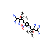 CC1(C)OC(=C(C#N)C#N)C(C#N)=C1/C=C/c1ccc(/C=C/C2=C(C#N)C(=C(C#N)C#N)OC2(C)C)c([N+](=O)[O-])c1